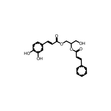 O=C(/C=C/c1ccc(O)c(O)c1)OCC(CO)OC(=O)/C=C/c1ccccc1